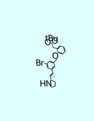 CC(C)(C)OC(=O)Cc1ccccc1OCc1cc(Br)cc(/C=C/C2CCCN2)c1